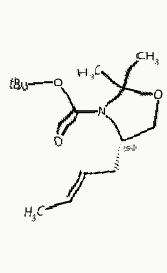 CC=CC[C@H]1COC(C)(C)N1C(=O)OC(C)(C)C